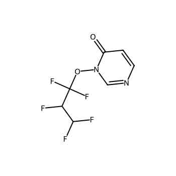 O=c1ccncn1OC(F)(F)C(F)C(F)F